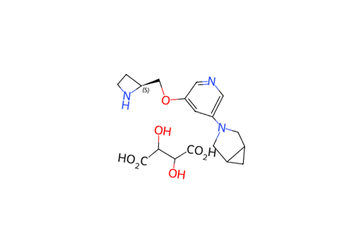 O=C(O)C(O)C(O)C(=O)O.c1ncc(N2CC3CC3C2)cc1OC[C@@H]1CCN1